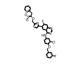 O=S(=O)=C(Cc1ccccn1)OCc1nc(-c2cc3c(Nc4ccc(OCc5cccc(F)c5)c(Cl)c4)ncnc3cc2F)cs1